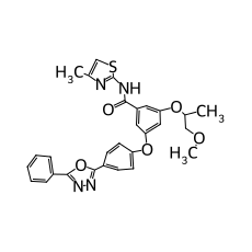 COCC(C)Oc1cc(Oc2ccc(-c3nnc(-c4ccccc4)o3)cc2)cc(C(=O)Nc2nc(C)cs2)c1